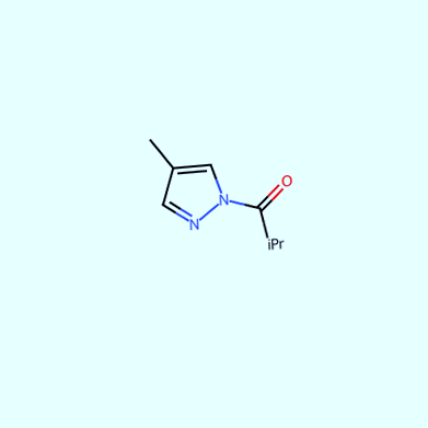 Cc1cnn(C(=O)C(C)C)c1